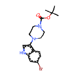 CC(C)(C)OC(=O)N1CCN(c2c[nH]c3cc(Br)ccc23)CC1